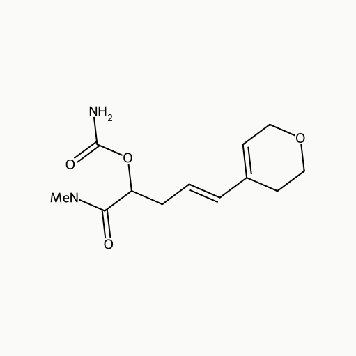 CNC(=O)C(C/C=C/C1=CCOCC1)OC(N)=O